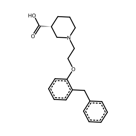 O=C(O)[C@@H]1CCCN(CCOc2ccccc2Cc2ccccc2)C1